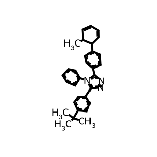 CC1C=CC=CC1c1ccc(-c2nnc(-c3ccc(C(C)(C)C)cc3)n2-c2ccccc2)cc1